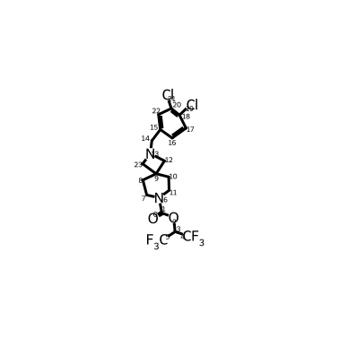 O=C(OC(C(F)(F)F)C(F)(F)F)N1CCC2(CC1)CN(Cc1ccc(Cl)c(Cl)c1)C2